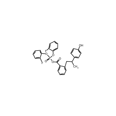 CC(Cc1ccccc1C(=O)OP(=O)(Oc1ccccc1F)Oc1ccccc1F)c1ccc(O)cc1